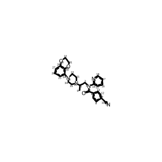 CC(CN(C(=O)c1ccc(C#N)cc1)c1ccccn1)N1CCN(c2cccc3c2OCCO3)CC1